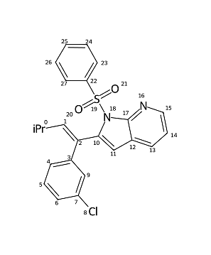 CC(C)C=C(c1cccc(Cl)c1)c1cc2cccnc2n1S(=O)(=O)c1ccccc1